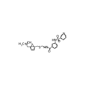 CN(C)Cc1ccc(CSCCNC(=O)c2cccc(NS(=O)(=O)c3cccnc3)c2)o1